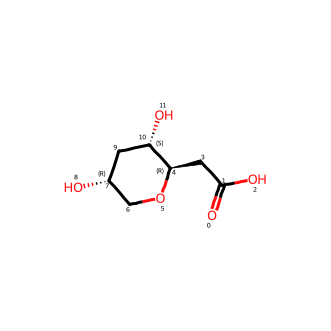 O=C(O)C[C@H]1OC[C@H](O)C[C@@H]1O